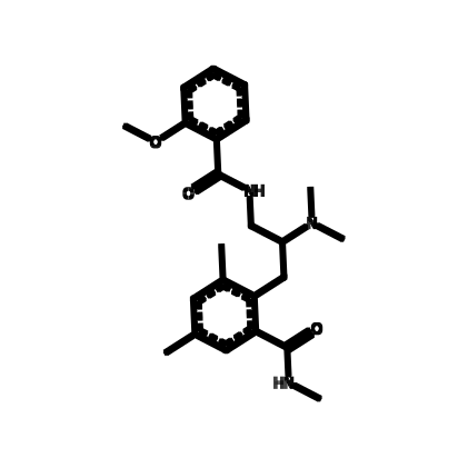 CNC(=O)c1cc(C)cc(C)c1CC(CNC(=O)c1ccccc1OC)N(C)C